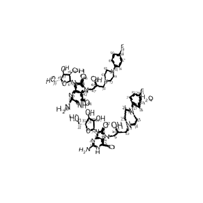 Nc1nc2c(c(=O)[nH]1)n(CC(O)CN1CCN(c3ccc(F)cc3)CC1)c(=O)n2[C@@H]1O[C@H](CO)[C@@H](O)[C@H]1O.Nc1nc2c(c(=O)[nH]1)n(CC(O)CN1CCN(c3ccc(F)cc3)CC1)c(=O)n2[C@@H]1O[C@H](CO)[C@@H](O)[C@H]1O.O